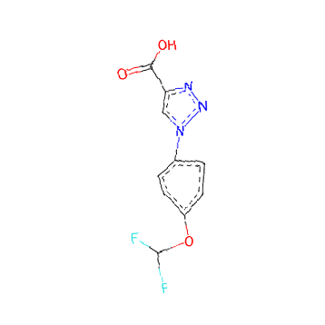 O=C(O)c1cn(-c2ccc(OC(F)F)cc2)nn1